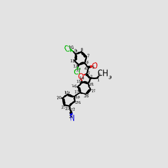 CCc1c(C(=O)c2ccc(Cl)cc2Cl)oc2cc(-c3cccc(C#N)c3)ccc12